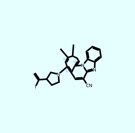 C=C(I)C1CCN(C2=c3\cc(C#N)c4nc5ccccc5n4\c3=C/CC(C)/C(C)=C\2)C1